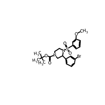 COc1cccc(S(=O)(=O)N2CCN(C(=O)OC(C)(C)C)CC2c2cccc(Br)c2)c1